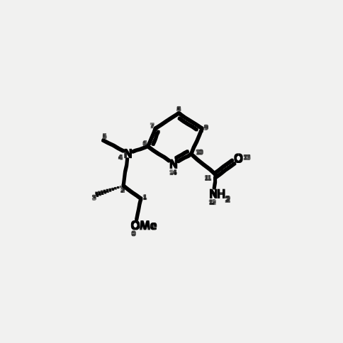 COC[C@H](C)N(C)c1cc[c]c(C(N)=O)n1